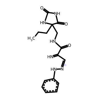 CCCC1(CNC(=O)C(=N)/C=N\Nc2ccccc2)NC(=O)NC1=O